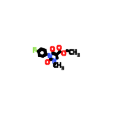 CCOC(=O)c1cn(C)c(=O)n(-c2ccc(F)cc2)c1=O